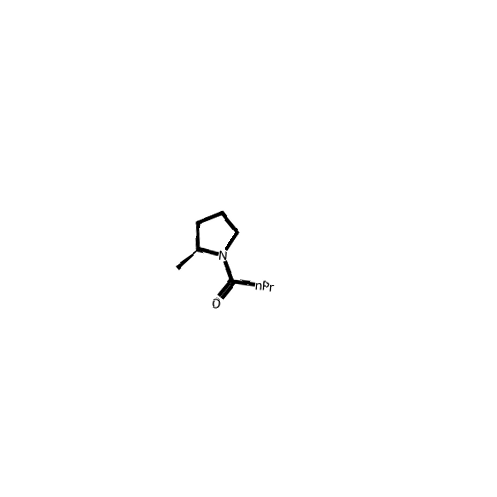 CCCC(=O)N1CCC[C@@H]1C